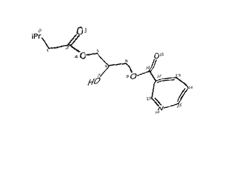 CC(C)CC(=O)OCC(O)COC(=O)c1cccnc1